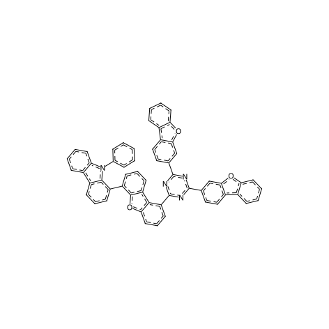 c1ccc(-n2c3ccccc3c3cccc(-c4cccc5c4oc4cccc(-c6nc(-c7ccc8c(c7)oc7ccccc78)nc(-c7ccc8c(c7)oc7ccccc78)n6)c45)c32)cc1